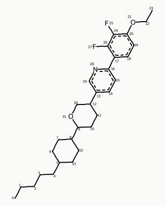 CCCCCC1CCC(C2CCC(c3ccc(-c4ccc(OCC)c(F)c4F)nc3)CO2)CC1